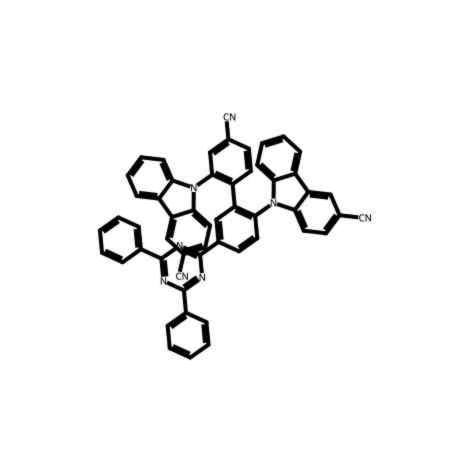 N#Cc1ccc(-c2cc(-c3nc(-c4ccccc4)nc(-c4ccccc4)n3)ccc2-n2c3ccccc3c3cc(C#N)ccc32)c(-n2c3ccccc3c3cc(C#N)ccc32)c1